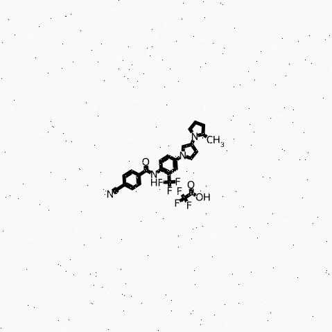 CC1CCCN1C1CCN(c2ccc(NC(=O)c3ccc(C#N)cc3)c(C(F)(F)F)c2)C1.O=C(O)C(F)(F)F